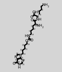 NCCCC[C@H](NC(=O)[C@@H](N)CCCCNC(=O)OCCCCCn1cnc2c(=O)[nH]cnc21)C(=O)O